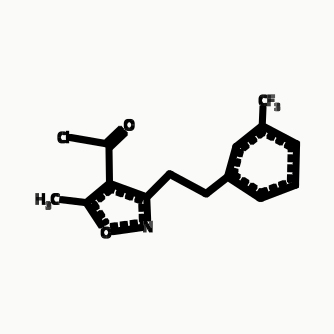 Cc1onc(CCc2cccc(C(F)(F)F)c2)c1C(=O)Cl